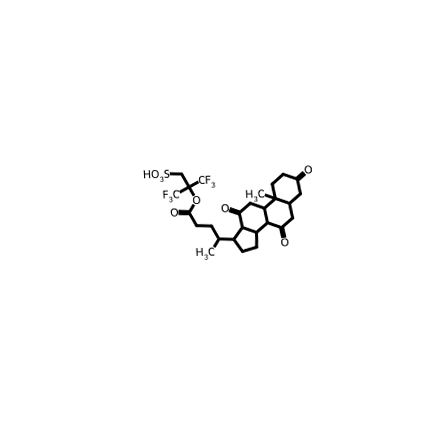 CC(CCC(=O)OC(CS(=O)(=O)O)(C(F)(F)F)C(F)(F)F)C1CCC2C1C(=O)CC1C2C(=O)CC2CC(=O)CCC21C